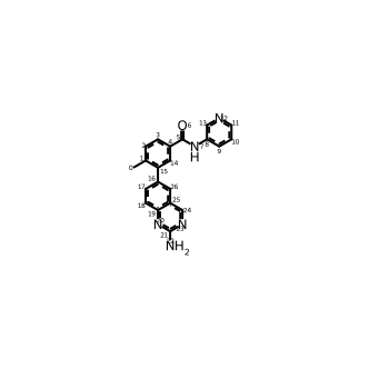 Cc1ccc(C(=O)Nc2cccnc2)cc1-c1ccc2nc(N)ncc2c1